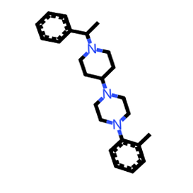 Cc1ccccc1N1CCN(C2CCN(C(C)c3ccccc3)CC2)CC1